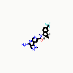 CN(C(=O)c1cc2c(cn1)nc(N)c1cnn(C)c12)[C@H]1c2ccc(C(F)(F)F)cc2[C@@H]2C[C@@H]21